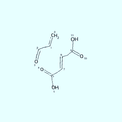 C=CC=O.O=C(O)C=CC(=O)O